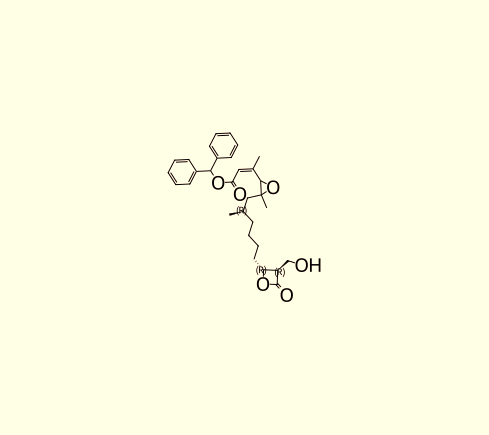 CC(=CC(=O)OC(c1ccccc1)c1ccccc1)C1OC1(C)C[C@H](C)CCCC[C@H]1OC(=O)[C@@H]1CO